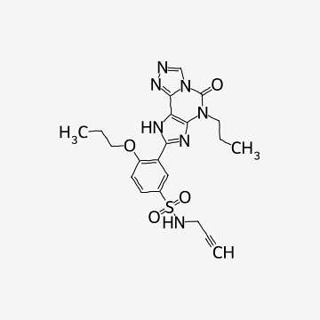 C#CCNS(=O)(=O)c1ccc(OCCC)c(-c2nc3c([nH]2)c2nncn2c(=O)n3CCC)c1